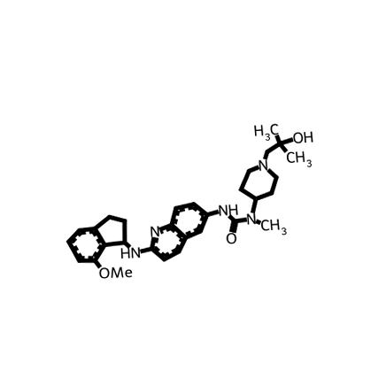 COc1cccc2c1C(Nc1ccc3cc(NC(=O)N(C)C4CCN(CC(C)(C)O)CC4)ccc3n1)CC2